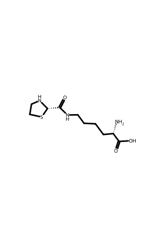 N[C@@H](CCCCNC(=O)[C@H]1NCCS1)C(=O)O